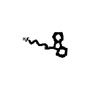 CCCCCNC1c2ccccc2-c2ccccc21